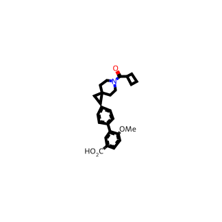 COc1ccc(C(=O)O)cc1-c1ccc([C@@H]2CC23CCN(C(=O)C2CCC2)CC3)cc1